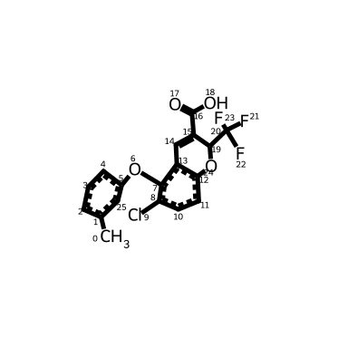 Cc1cccc(Oc2c(Cl)ccc3c2C=C(C(=O)O)C(C(F)(F)F)O3)c1